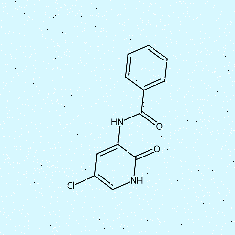 O=C(Nc1cc(Cl)c[nH]c1=O)c1ccccc1